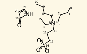 CCCC[N+](CC)(CCCC)CCCS(=O)(=O)[O-].O=C1C=CN1